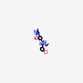 COc1cccc(-c2nc(-c3ccc(-n4cnc(C)c4)c(OC)c3)nn2C(C)C)c1